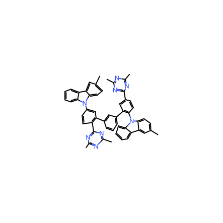 Cc1ccc2c(c1)c1ccccc1n2-c1ccc(-c2nc(C)nc(C)n2)c(-c2cccc(-c3cc(-c4nc(C)nc(C)n4)ccc3-n3c4ccccc4c4cc(C)ccc43)c2)c1